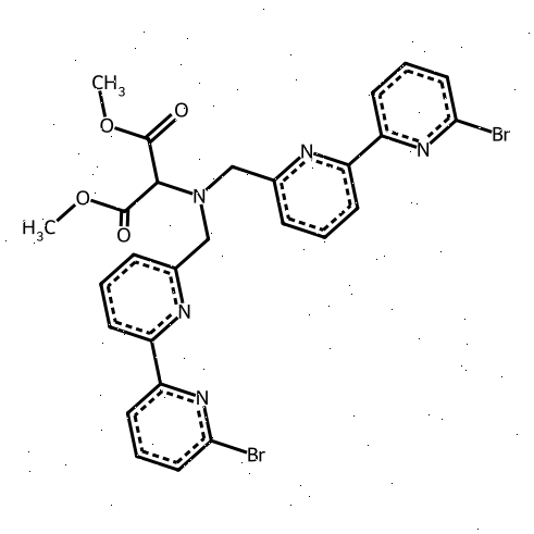 COC(=O)C(C(=O)OC)N(Cc1cccc(-c2cccc(Br)n2)n1)Cc1cccc(-c2cccc(Br)n2)n1